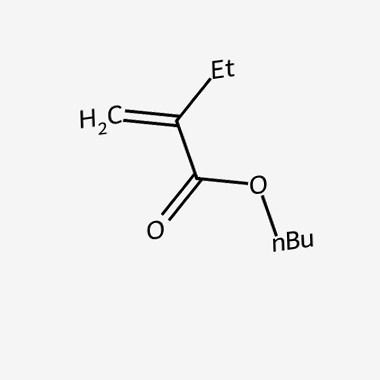 C=C(CC)C(=O)OCCCC